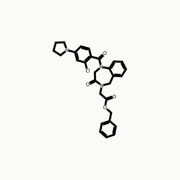 O=C(CN1Cc2ccccc2N(C(=O)c2ccc(N3CCCC3)cc2Cl)CC1=O)OCc1ccccc1